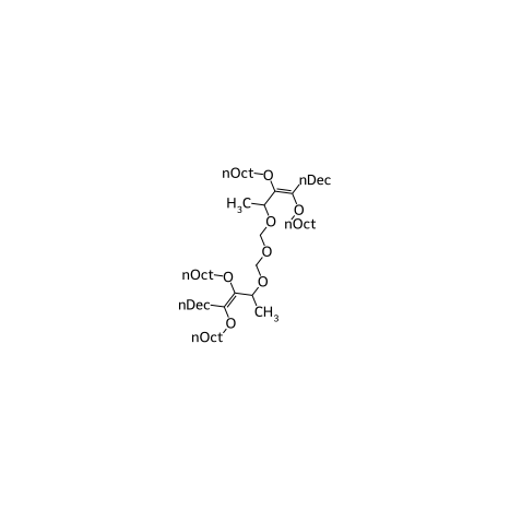 CCCCCCCCCCC(OCCCCCCCC)=C(OCCCCCCCC)C(C)OCOCOC(C)C(OCCCCCCCC)=C(CCCCCCCCCC)OCCCCCCCC